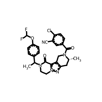 CC(c1ccc(OC(F)F)cc1)N1CCn2nc3c(c2C1=O)CN(C(=O)c1ccc(Cl)c(C#N)c1)[C@H](C)C3